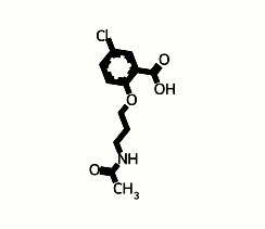 CC(=O)NCCCOc1ccc(Cl)cc1C(=O)O